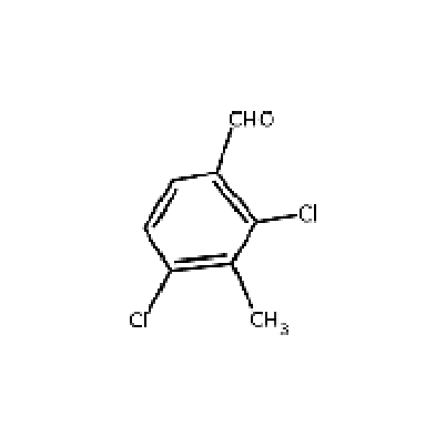 Cc1c(Cl)ccc(C=O)c1Cl